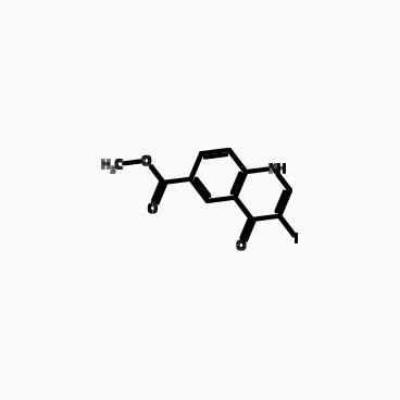 COC(=O)c1ccc2[nH]cc(I)c(=O)c2c1